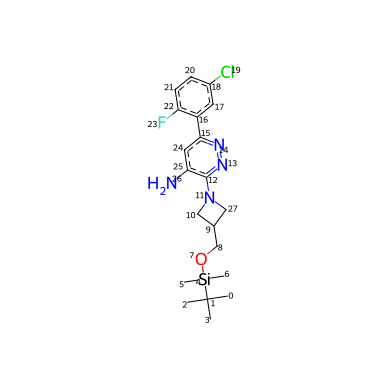 CC(C)(C)[Si](C)(C)OCC1CN(c2nnc(-c3cc(Cl)ccc3F)cc2N)C1